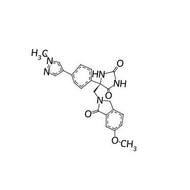 COc1ccc2c(c1)C(=O)N(C[C@@]1(c3ccc(-c4cnn(C)c4)cc3)NC(=O)NC1=O)C2